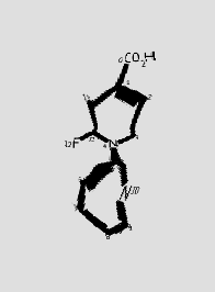 O=C(O)C1=CCN(c2ccccn2)C(F)C1